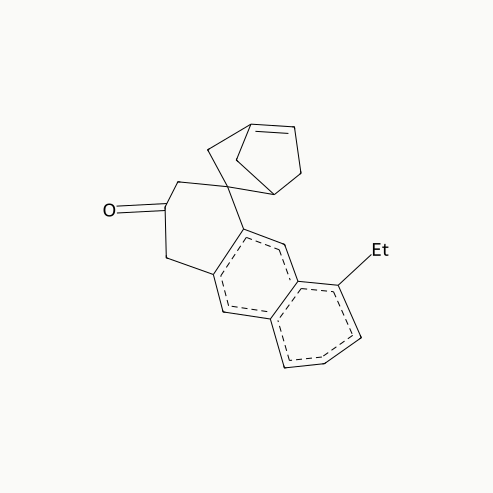 CCc1cccc2cc3c(cc12)C1(CC(=O)C3)CC2=CCC1C2